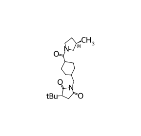 C[C@@H]1CCN(C(=O)C2CCC(CN3C(=O)CC(C(C)(C)C)C3=O)CC2)C1